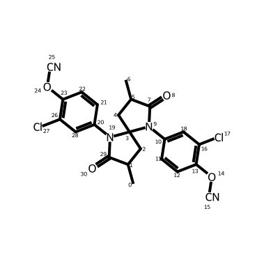 CC1CC2(CC(C)C(=O)N2c2ccc(OC#N)c(Cl)c2)N(c2ccc(OC#N)c(Cl)c2)C1=O